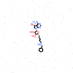 Nc1ncnc2c1c(Br)cn2[C@@H]1O[C@H](CC/C=C/CNCc2ccccc2)[C@@H](O)[C@H]1O